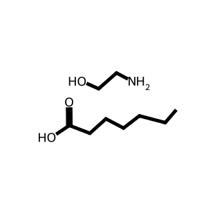 CCCCCCC(=O)O.NCCO